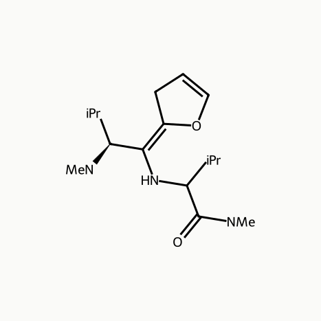 CNC(=O)C(NC(=C1CC=CO1)[C@@H](NC)C(C)C)C(C)C